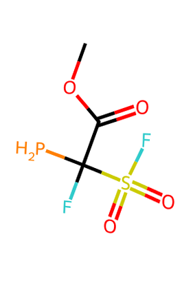 COC(=O)C(F)(P)S(=O)(=O)F